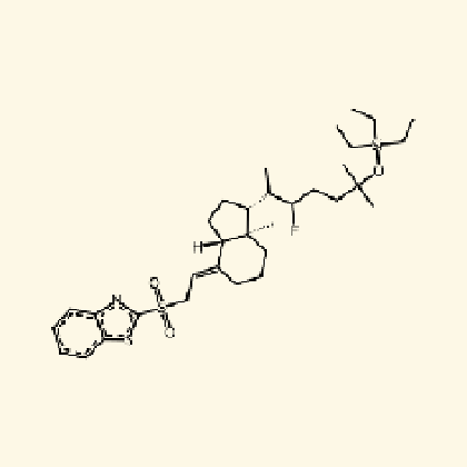 CC[Si](CC)(CC)OC(C)(C)CCC(F)C(C)[C@H]1CC[C@H]2/C(=C/CS(=O)(=O)c3nc4ccccc4s3)CCC[C@]12C